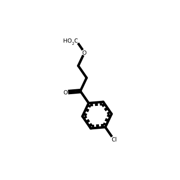 O=C(O)OCCC(=O)c1ccc(Cl)cc1